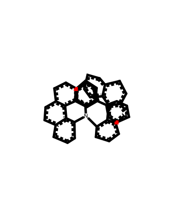 c1ccc(-c2ccccc2N(c2cccc3ccc4ccc5ccccc5c4c23)c2cccc3oc4ccc5ccccc5c4c23)cc1